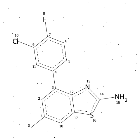 Cc1cc(-c2ccc(F)c(Cl)c2)c2nc(N)sc2c1